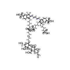 CNC(=O)O[C@H]1[C@H](O)[C@H](O)[C@@H](O[C@@H]2[C@@H](OCCOCCNC(=O)CCCCCN3\C(=C/C=C/C=C/C4=[N+](CCCCS(=O)(=O)O)C(C)(CCCCS(=O)(=O)O)c5cc(S(=O)(=O)O)ccc54)C(C)(C)c4cc(S(=O)(=O)O)ccc43)O[C@@H](CO)[C@@H](O)[C@@H]2O)O[C@@H]1CO